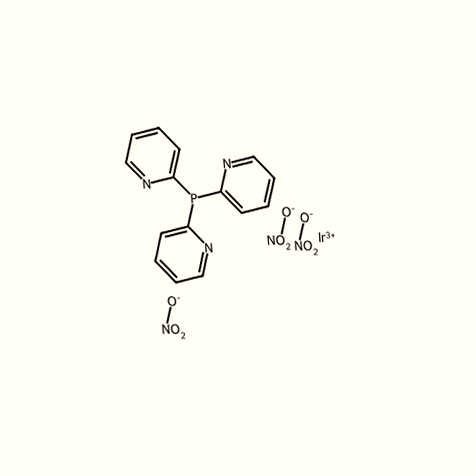 O=[N+]([O-])[O-].O=[N+]([O-])[O-].O=[N+]([O-])[O-].[Ir+3].c1ccc(P(c2ccccn2)c2ccccn2)nc1